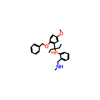 CCC(CC)(Pc1ccccc1CNC)c1cc(OC)ccc1OCc1ccccc1